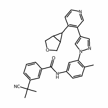 Cc1ccc(NC(=O)c2cccc(C(C)(C)C#N)c2)cc1-n1cc(-c2cnccc2C2C3COCC32)cn1